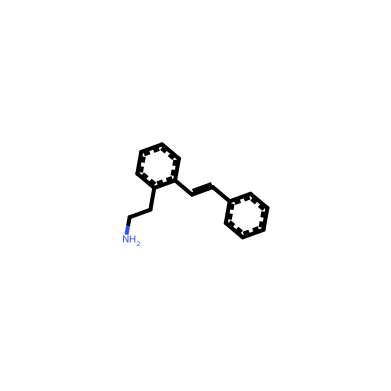 NCCc1ccccc1C=Cc1ccccc1